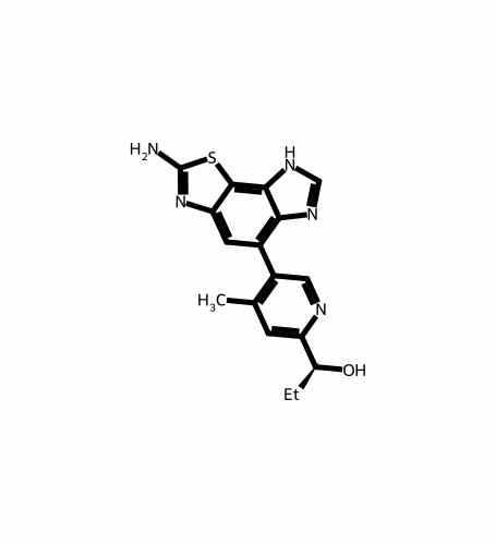 CC[C@H](O)c1cc(C)c(-c2cc3nc(N)sc3c3[nH]cnc23)cn1